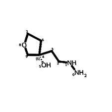 NNCC[C@]1(O)CCOC1